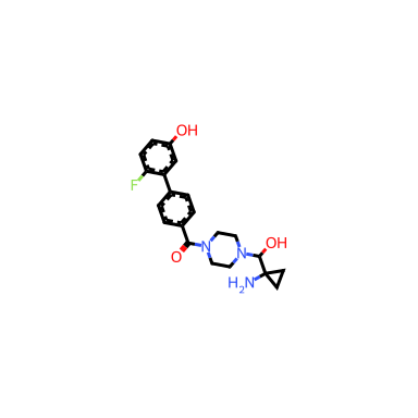 NC1(C(O)N2CCN(C(=O)c3ccc(-c4cc(O)ccc4F)cc3)CC2)CC1